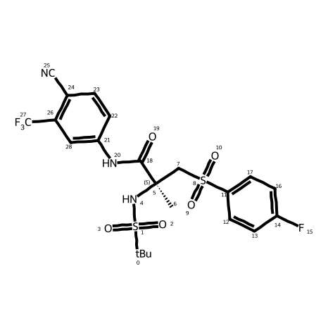 CC(C)(C)S(=O)(=O)N[C@](C)(CS(=O)(=O)c1ccc(F)cc1)C(=O)Nc1ccc(C#N)c(C(F)(F)F)c1